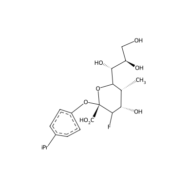 CC(C)c1ccc(O[C@]2(C(=O)O)OC([C@H](O)[C@H](O)CO)[C@H](C)[C@H](O)C2F)cc1